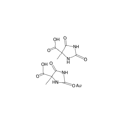 CC1(C(=O)O)NC(=O)NC1=O.CC1(C(=O)O)NC(=O)NC1=O.[Au]